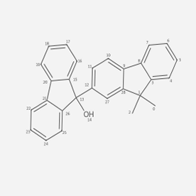 CC1(C)c2ccccc2-c2ccc(C3(O)c4ccccc4-c4ccccc43)cc21